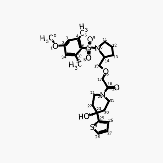 COc1cc(C)c(S(=O)(=O)N2CCCC2COCC(=O)N2CCC(O)(c3cccs3)CC2)c(C)c1